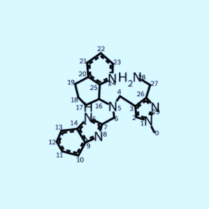 Cn1cc(CN(Cc2nc3ccccc3[nH]2)C2CCCc3cccnc32)c(CN)n1